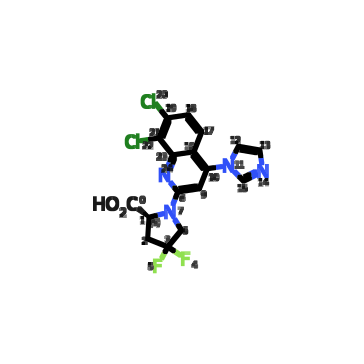 O=C(O)[C@@H]1CC(F)(F)CN1c1cc(-n2ccnc2)c2ccc(Cl)c(Cl)c2n1